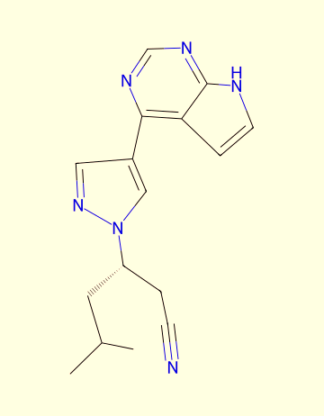 CC(C)C[C@@H](CC#N)n1cc(-c2ncnc3[nH]ccc23)cn1